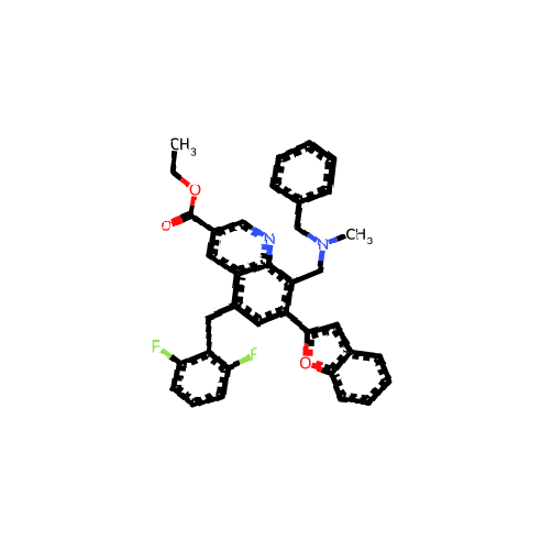 CCOC(=O)c1cnc2c(CN(C)Cc3ccccc3)c(-c3cc4ccccc4o3)cc(Cc3c(F)cccc3F)c2c1